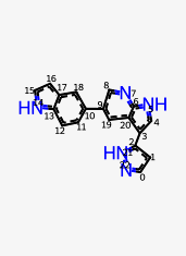 c1cc(-c2c[nH]c3ncc(-c4ccc5[nH]ccc5c4)cc23)[nH]n1